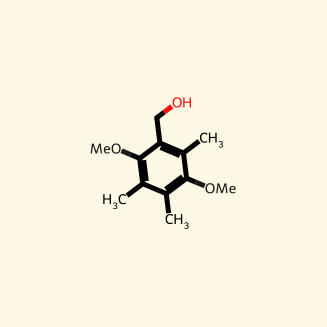 COc1c(C)c(C)c(OC)c(CO)c1C